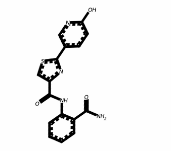 NC(=O)c1ccccc1NC(=O)c1csc(-c2ccc(O)nc2)n1